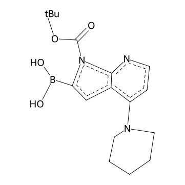 CC(C)(C)OC(=O)n1c(B(O)O)cc2c(N3CCCCC3)ccnc21